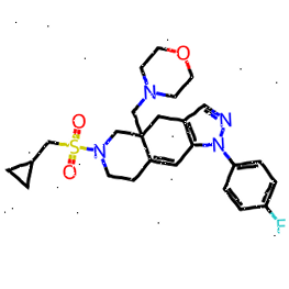 O=S(=O)(CC1CC1)N1CCC2=Cc3c(cnn3-c3ccc(F)cc3)CC2(CN2CCOCC2)C1